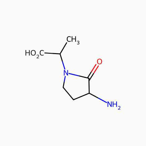 CC(C(=O)O)N1CCC(N)C1=O